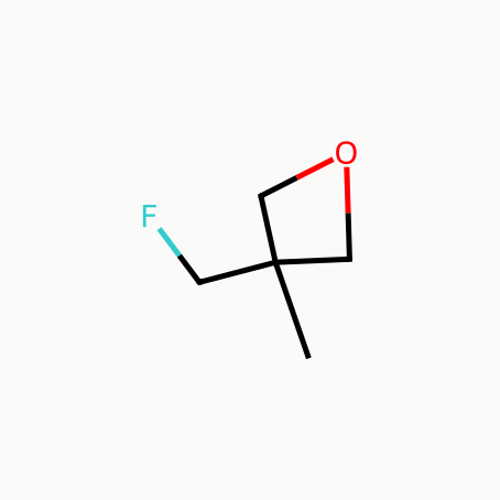 CC1(CF)COC1